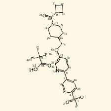 CS(=O)(=O)c1ccc(-c2ccc(OCC3CCN(C(=O)C4CCC4)CC3)cn2)cc1.O=C(O)C(F)(F)F